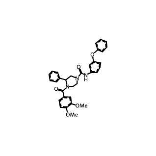 COc1ccc(C(=O)N2CCN(C(=O)Nc3cccc(Oc4ccccc4)c3)CC2c2ccccc2)cc1OC